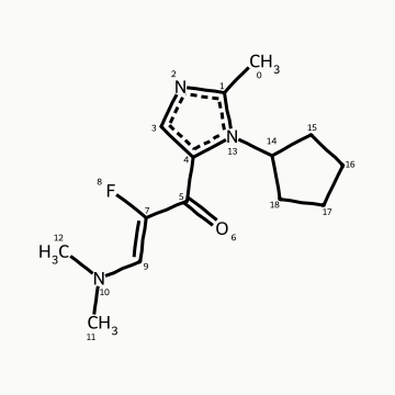 Cc1ncc(C(=O)C(F)=CN(C)C)n1C1CCCC1